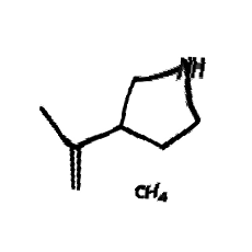 C.C=C(C)C1CCNC1